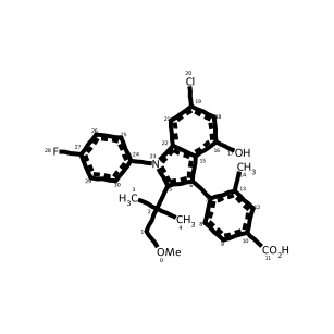 COCC(C)(C)c1c(-c2ccc(C(=O)O)cc2C)c2c(O)cc(Cl)cc2n1-c1ccc(F)cc1